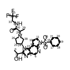 CC(O)c1nc2cnc3c(ccn3S(=O)(=O)c3ccccc3)c2n1[C@H]1CCN(C(C)C(=O)NCC(F)(F)F)C1